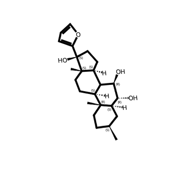 C[C@H]1CC[C@@]2(C)[C@H](C1)[C@@H](O)[C@H](O)C1[C@@H]2CC[C@@]2(C)[C@H]1CC[C@@]2(O)c1ccco1